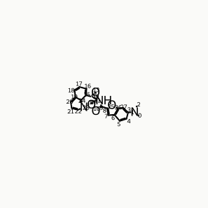 CN(C)c1ccc2cc(C(=O)NS(=O)(=O)c3cccc4cccnc34)oc2c1